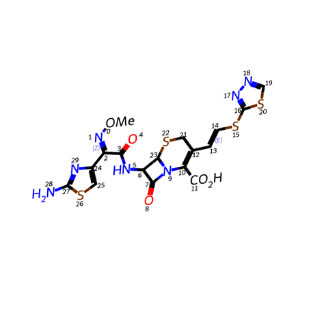 CO/N=C(\C(=O)NC1C(=O)N2C(C(=O)O)=C(/C=C/Sc3nncs3)CSC12)c1csc(N)n1